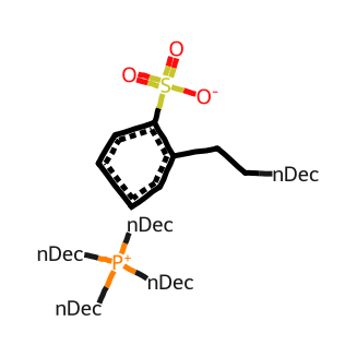 CCCCCCCCCCCCc1ccccc1S(=O)(=O)[O-].CCCCCCCCCC[P+](CCCCCCCCCC)(CCCCCCCCCC)CCCCCCCCCC